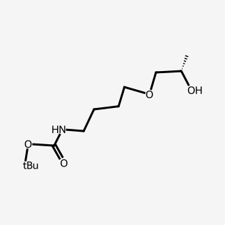 C[C@H](O)COCCCCNC(=O)OC(C)(C)C